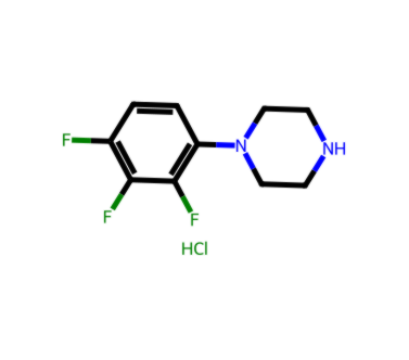 Cl.Fc1ccc(N2CCNCC2)c(F)c1F